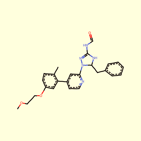 COCCOc1ccc(C)c(-c2ccnc(N3N=C(NC=O)NC3Cc3ccccc3)c2)c1